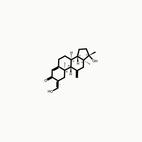 C=C1C[C@@]2(C)[C@@H](CC[C@]2(C)O)[C@@H]2CCC3=CC(=O)/C(=C\O)C[C@]3(C)[C@@H]12